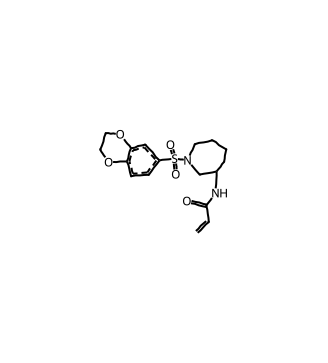 C=CC(=O)NC1CCCCN(S(=O)(=O)c2ccc3c(c2)OCCO3)C1